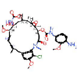 COc1cc(NC(=O)O[C@H]2CC(=O)N(C)c3cc(cc(OC)c3Cl)C/C(C)=C/C=C/[C@@H](OC)[C@@]3(O)C[C@H](OC(=O)N3)[C@@H](C)[C@@H]3O[C@@]23C)ccc1N